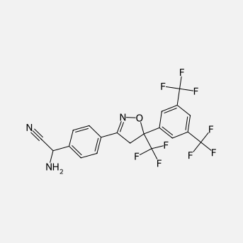 N#CC(N)c1ccc(C2=NOC(c3cc(C(F)(F)F)cc(C(F)(F)F)c3)(C(F)(F)F)C2)cc1